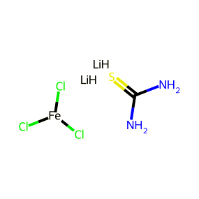 NC(N)=S.[Cl][Fe]([Cl])[Cl].[LiH].[LiH]